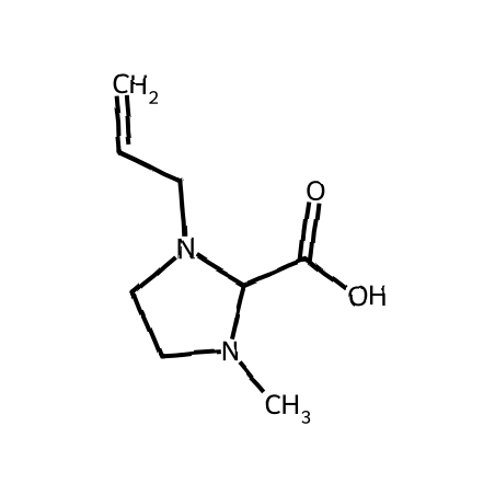 C=CCN1CCN(C)C1C(=O)O